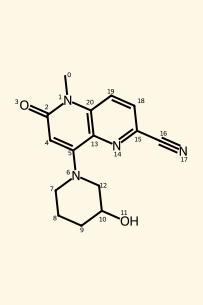 Cn1c(=O)cc(N2CCCC(O)C2)c2nc(C#N)ccc21